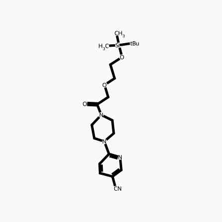 CC(C)(C)[Si](C)(C)OCCOCC(=O)N1CCN(c2ccc(C#N)cn2)CC1